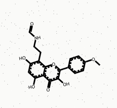 COc1ccc(-c2oc3c(CCNC=O)c(O)cc(O)c3c(=O)c2O)cc1